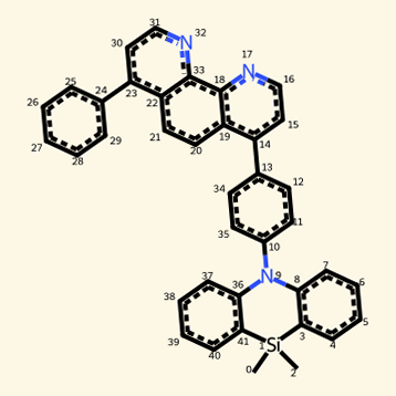 C[Si]1(C)c2ccccc2N(c2ccc(-c3ccnc4c3ccc3c(-c5ccccc5)ccnc34)cc2)c2ccccc21